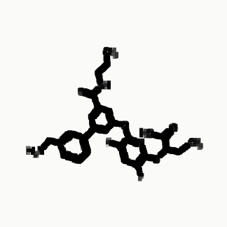 CCCNC(=O)c1cc(Oc2nc(OC(CC)C(=O)O)c(F)cc2F)cc(-c2cccc(CN)c2)c1